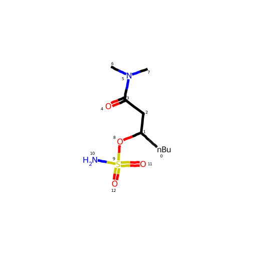 CCCCC(CC(=O)N(C)C)OS(N)(=O)=O